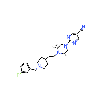 C[C@@H]1CN(c2ncc(C#N)cn2)C[C@H](C)N1CCC1CCN(Cc2cccc(F)c2)CC1